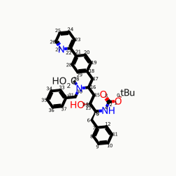 CC(C)(C)OC(=O)N[C@@H](Cc1ccccc1)[C@H](O)CC(Cc1ccc(-c2ccccn2)cc1)N(Cc1ccccc1)C(=O)O